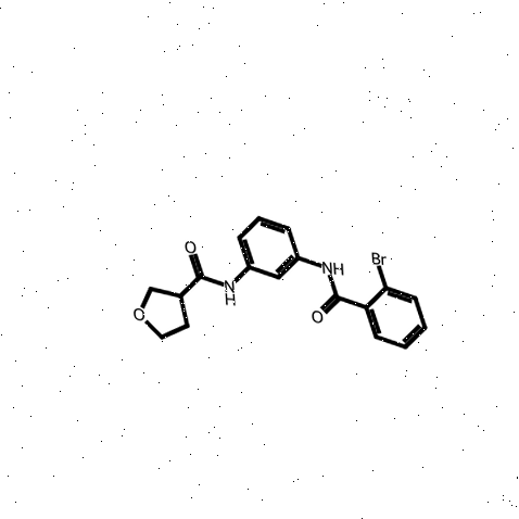 O=C(Nc1cccc(NC(=O)C2CCOC2)c1)c1ccccc1Br